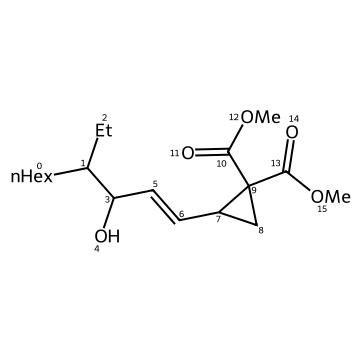 CCCCCCC(CC)C(O)C=CC1CC1(C(=O)OC)C(=O)OC